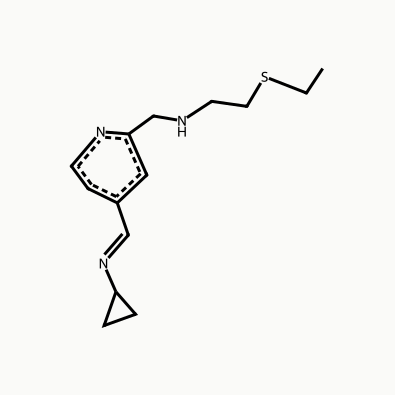 CCSCCNCc1cc(C=NC2CC2)ccn1